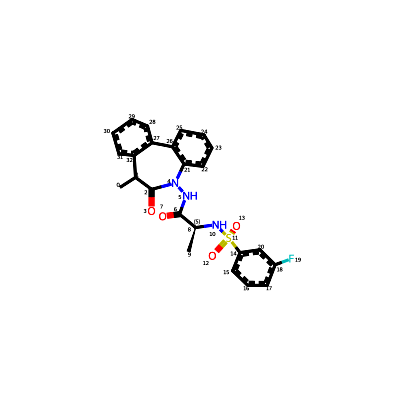 CC1C(=O)N(NC(=O)[C@H](C)NS(=O)(=O)c2cccc(F)c2)c2ccccc2-c2ccccc21